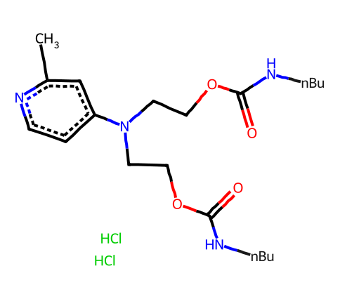 CCCCNC(=O)OCCN(CCOC(=O)NCCCC)c1ccnc(C)c1.Cl.Cl